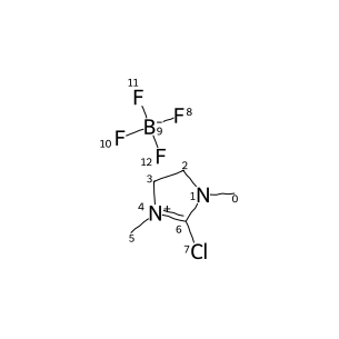 CN1CC[N+](C)=C1Cl.F[B-](F)(F)F